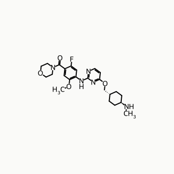 CN[C@H]1CC[C@H](COc2ccnc(Nc3cc(F)c(C(=O)N4CCOCC4)cc3OC)n2)CC1